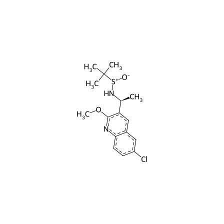 COc1nc2ccc(Cl)cc2cc1[C@H](C)N[S+]([O-])C(C)(C)C